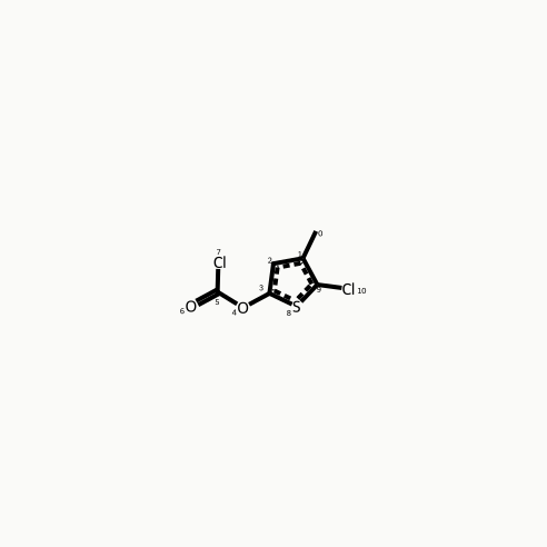 Cc1cc(OC(=O)Cl)sc1Cl